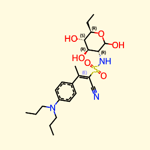 CCCN(CCC)c1ccc(/C(C)=C(\C#N)S(=O)(=O)N[C@H]2C(O)O[C@H](CC)[C@@H](O)[C@@H]2O)cc1